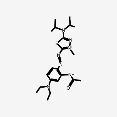 CCN(CC)c1ccc(/N=N/c2sc(N(C(C)C)C(C)C)n[n+]2C)c(NC(C)=O)c1